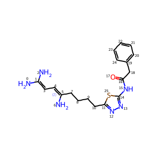 NC(N)=C/C=C(\N)CCCCc1nnc(NC(=O)Cc2ccccc2)s1